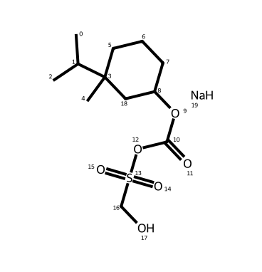 CC(C)C1(C)CCCC(OC(=O)OS(=O)(=O)CO)C1.[NaH]